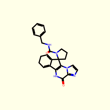 O=C(NCc1ccccc1)N1CCCC12C1=CCCC=C1c1[nH]c(=O)c3nccn3c12